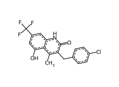 Cc1c(Cc2ccc(Cl)cc2)c(=O)[nH]c2cc(C(F)(F)F)cc(O)c12